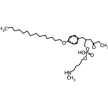 CCCCCCCCCCCCCCOc1ccc(CC(COP(=O)(O)OCCCCNC)CC(=O)CC)cc1